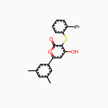 Cc1cc(C)cc(-c2cc(O)c(Sc3ccccc3C(C)C)c(=O)o2)c1